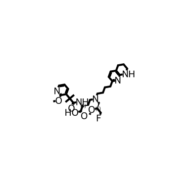 COc1ncccc1C(C)(C)C(=O)N[C@@H](CCN(CCCCc1ccc2c(n1)NCCC2)C[C@@H](CF)OC)C(=O)O